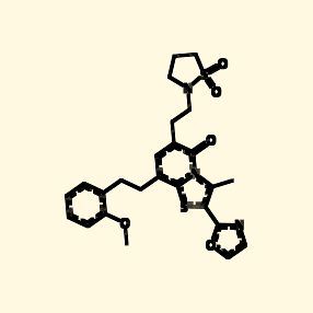 COc1ccccc1CCc1cc(CCN2CCCS2(=O)=O)c(=O)n2c(C)c(-c3ncco3)sc12